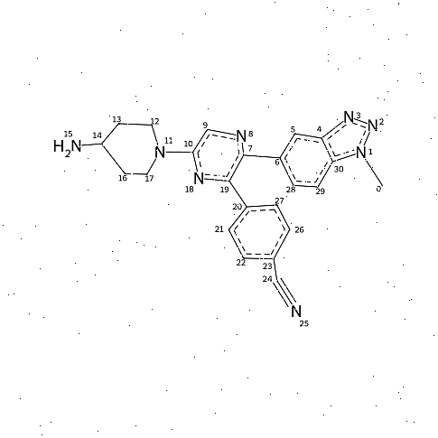 Cn1nnc2cc(-c3ncc(N4CCC(N)CC4)nc3-c3ccc(C#N)cc3)ccc21